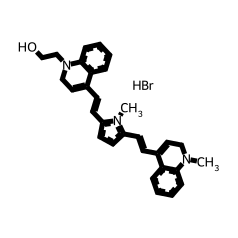 Br.CN1CC=C(C=Cc2ccc(C=CC3=CCN(CCO)c4ccccc43)n2C)c2ccccc21